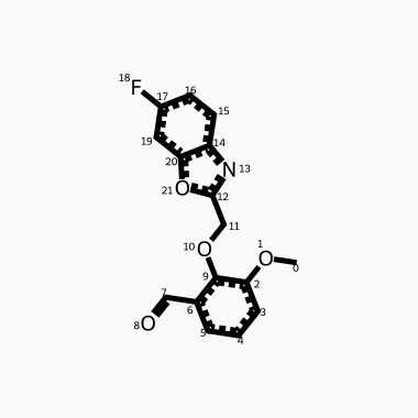 COc1cccc(C=O)c1OCc1nc2ccc(F)cc2o1